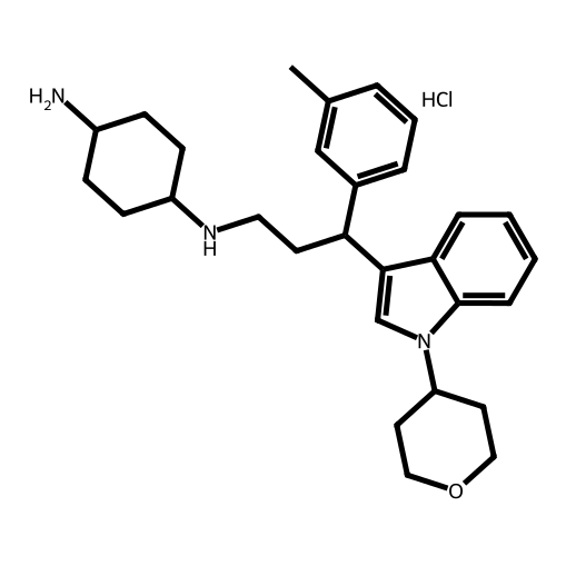 Cc1cccc(C(CCNC2CCC(N)CC2)c2cn(C3CCOCC3)c3ccccc23)c1.Cl